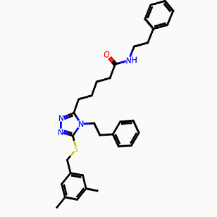 Cc1cc(C)cc(CSc2nnc(CCCCC(=O)NCCc3ccccc3)n2CCc2ccccc2)c1